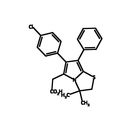 CC1(C)CSc2c(-c3ccccc3)c(-c3ccc(Cl)cc3)c(CC(=O)O)n21